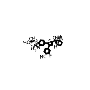 CC(C)(O)Cn1nnc2cc(-c3sc(C(=O)N4[C@H]5CC[C@@H]4[C@@H](N)C5)cc3-c3ccc(C#N)c(F)c3)ccc21